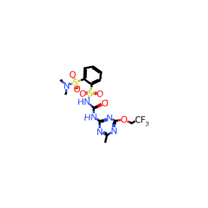 Cc1nc(NC(=O)NS(=O)(=O)c2ccccc2S(=O)(=O)N(C)C)nc(OCC(F)(F)F)n1